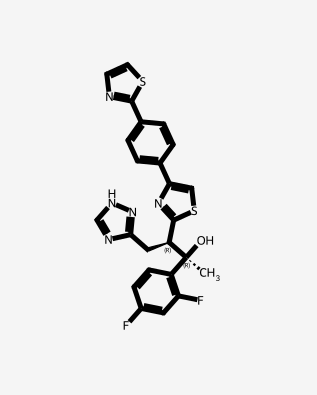 C[C@](O)(c1ccc(F)cc1F)[C@@H](Cc1nc[nH]n1)c1nc(-c2ccc(-c3nccs3)cc2)cs1